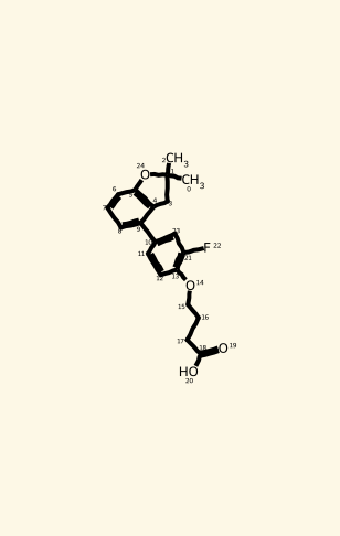 CC1(C)Cc2c(cccc2-c2ccc(OCCCC(=O)O)c(F)c2)O1